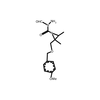 COc1ccc(COCC2(C)C(C)N2C(=O)N(N)C=O)cc1